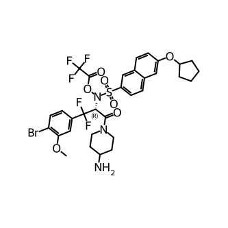 COc1cc(C(F)(F)[C@@H](C(=O)N2CCC(N)CC2)N(OC(=O)C(F)(F)F)S(=O)(=O)c2ccc3cc(OC4CCCC4)ccc3c2)ccc1Br